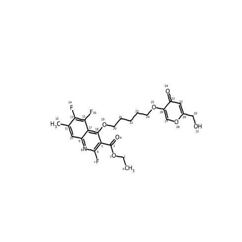 CCOC(=O)c1c(F)nc2cc(C)c(F)c(F)c2c1OCCCCCOc1coc(CO)cc1=O